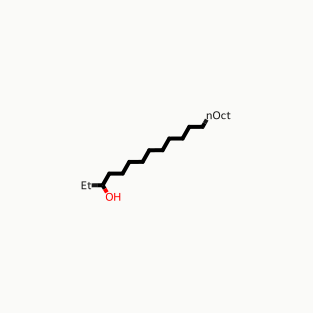 CCCCCCCCCCCCCCCCCCC(O)CC